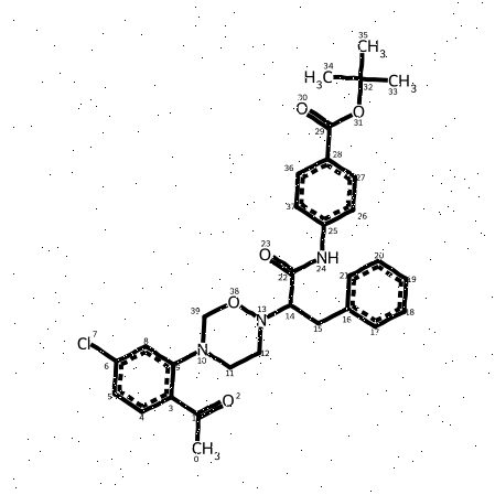 CC(=O)c1ccc(Cl)cc1N1CCN(C(Cc2ccccc2)C(=O)Nc2ccc(C(=O)OC(C)(C)C)cc2)OC1